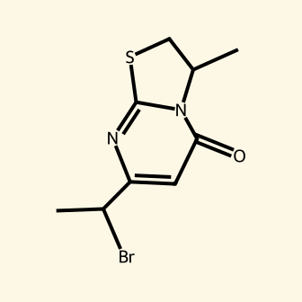 CC(Br)c1cc(=O)n2c(n1)SCC2C